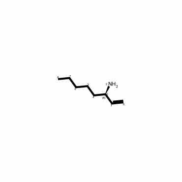 C=C[C@H](N)CCCCC